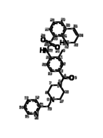 Cc1cc(C(=O)N2CCN(Cc3ccccn3)CC2)ccc1NS(=O)(=O)c1cccc2c1NCC=C2